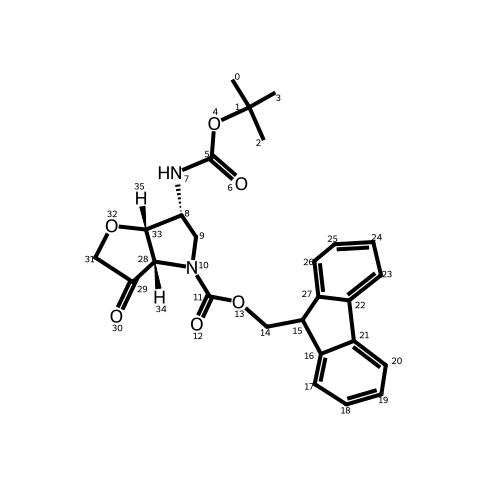 CC(C)(C)OC(=O)N[C@@H]1CN(C(=O)OCC2c3ccccc3-c3ccccc32)[C@@H]2C(=O)CO[C@@H]21